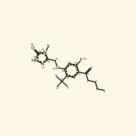 C=C(CCCC)c1cc(C(C)(C)C)c(OCc2n[nH]c(=O)n2C)cc1F